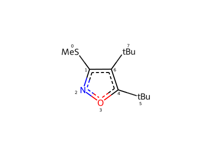 CSc1noc(C(C)(C)C)c1C(C)(C)C